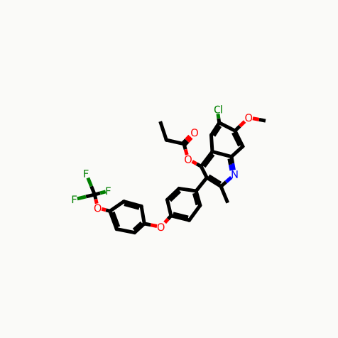 CCC(=O)Oc1c(-c2ccc(Oc3ccc(OC(F)(F)F)cc3)cc2)c(C)nc2cc(OC)c(Cl)cc12